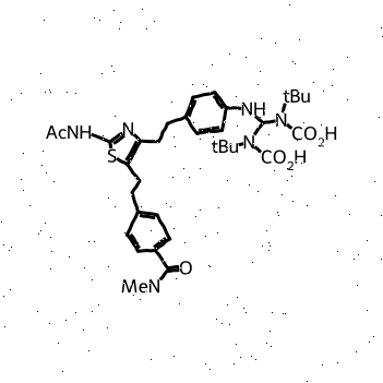 CNC(=O)c1ccc(CCc2sc(NC(C)=O)nc2CCc2ccc(NC(N(C(=O)O)C(C)(C)C)N(C(=O)O)C(C)(C)C)cc2)cc1